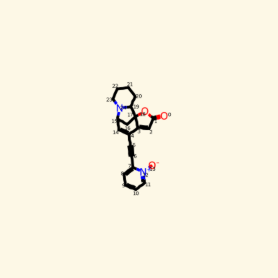 O=C1C=C2C(C#Cc3cccc[n+]3[O-])=CC3CC2(O1)C1CCCCN31